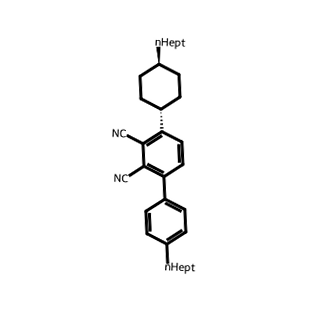 CCCCCCCc1ccc(-c2ccc([C@H]3CC[C@H](CCCCCCC)CC3)c(C#N)c2C#N)cc1